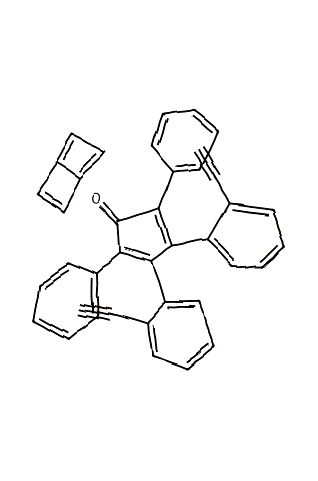 C#Cc1ccccc1C1=C(c2ccccc2)C(=O)C(c2ccccc2)=C1c1ccccc1C#C.c1cc2ccc1-2